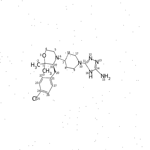 CC1(C)OCCN(C2CCN(c3nnc(N)[nH]3)CC2)[C@H]1Cc1ccc(Cl)cc1